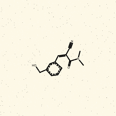 CN(C)C(=O)C(C#N)=Cc1cccc(CO)c1